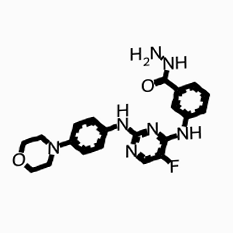 NNC(=O)c1cccc(Nc2nc(Nc3ccc(N4CCOCC4)cc3)ncc2F)c1